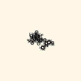 C=C[C@@]1(C(=O)[C@@H]2C[C@@H](Oc3cc(-c4ccccc4)nc4cc(OC)ccc34)CN2C(=O)[C@H](CNC(=O)C=CC)NC(=O)OC(C)(C)C)C[C@]1(N)C(=O)O